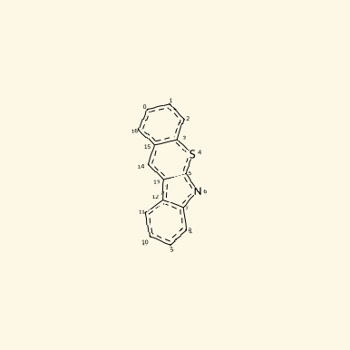 c1ccc2sc3nc4ccccc4c-3cc2c1